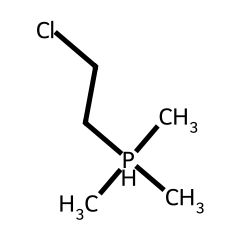 C[PH](C)(C)CCCl